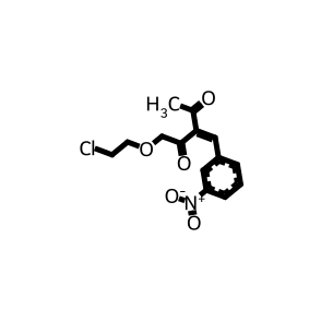 CC(=O)/C(=C/c1cccc([N+](=O)[O-])c1)C(=O)COCCCl